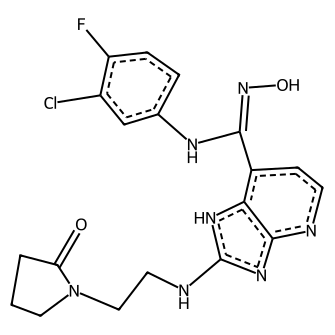 O=C1CCCN1CCNc1nc2nccc(/C(=N\O)Nc3ccc(F)c(Cl)c3)c2[nH]1